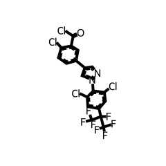 O=C(Cl)c1cc(-c2cnn(-c3c(Cl)cc(C(F)(C(F)(F)F)C(F)(F)F)cc3Cl)c2)ccc1Cl